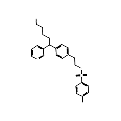 O=C(O)CCCCC(c1ccc(CCNS(=O)(=O)c2ccc(F)cc2)cc1)c1cccnc1